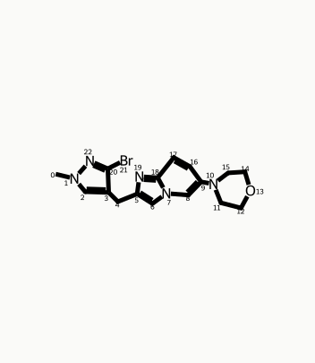 Cn1cc(Cc2cn3cc(N4CCOCC4)ccc3n2)c(Br)n1